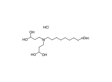 CCCCCCCCCCCCCCCCCCN(CCC(O)O)CCC(O)O.Cl